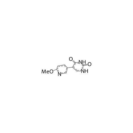 COc1ccc(-c2c[nH]c(=O)[nH]c2=O)cn1